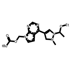 CCOC(C)N1C=C(c2ncnc3c2ccn3COC(=O)C(C)(C)C)CN1C